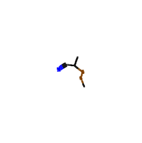 CSSC(C)C#N